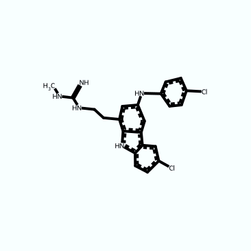 CNC(=N)NCCc1cc(Nc2ccc(Cl)cc2)cc2c1[nH]c1ccc(Cl)cc12